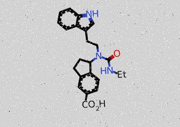 CCNC(=O)N(CCc1c[nH]c2ccccc12)C1CCc2cc(C(=O)O)ccc21